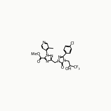 COC(=O)c1nc(Cn2nc(-c3ccc(Cl)cc3)n(CC(O)C(F)(F)F)c2=O)nn1-c1ccncc1C